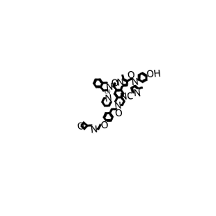 Cc1c(N(C(=O)c2cc(-c3cc4c(cc3C(=O)N3Cc5ccccc5C[C@H]3CN3CCCCC3)CN(C(=O)Cc3ccc(OCCN(C)CC5COC5)cc3)CC4)n(C)c2C)c2ccc(O)cc2)cc(C#N)n1C